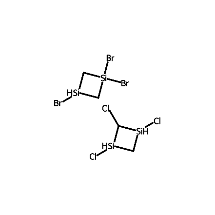 Br[SiH]1C[Si](Br)(Br)C1.ClC1[SiH](Cl)C[SiH]1Cl